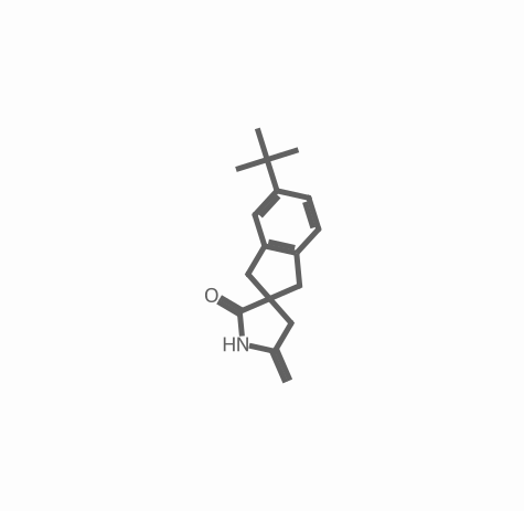 C=C1CC2(Cc3ccc(C(C)(C)C)cc3C2)C(=O)N1